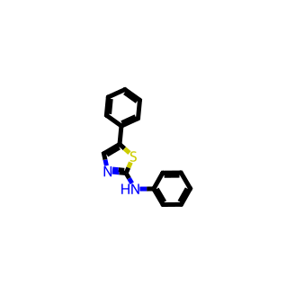 c1ccc(Nc2ncc(-c3ccccc3)s2)cc1